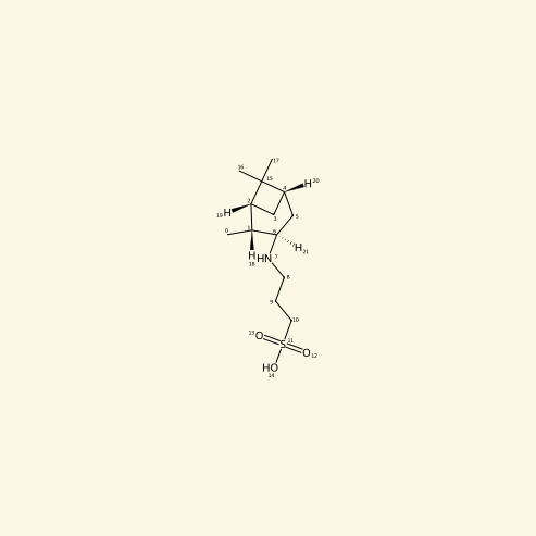 C[C@@H]1[C@H]2C[C@@H](C[C@H]1NCCCS(=O)(=O)O)C2(C)C